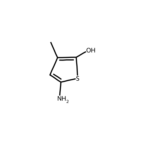 Cc1cc(N)sc1O